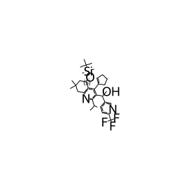 CC(C)c1nc2c(c(C3=CCCC3)c1C(O)c1ccc(C(F)(F)F)nc1)[C@@H](O[Si](C)(C)C(C)(C)C)CC(C)(C)C2